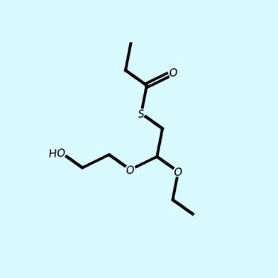 CCOC(CSC(=O)CC)OCCO